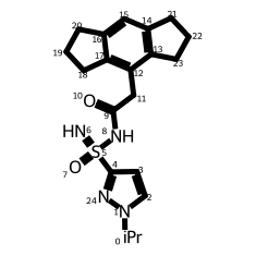 CC(C)n1ccc(S(=N)(=O)NC(=O)Cc2c3c(cc4c2CCC4)CCC3)n1